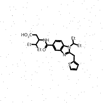 CCC(CC)C(CC(=O)O)NC(=O)c1ccc2c(c1)nc(Cc1cccs1)n2C(CC)CC